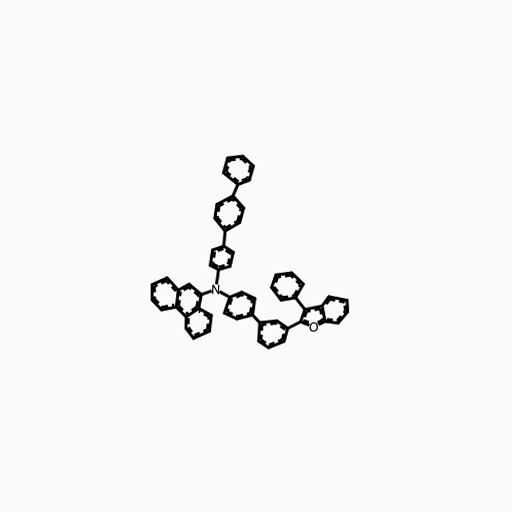 c1ccc(-c2ccc(-c3ccc(N(c4ccc(-c5cccc(-c6oc7ccccc7c6-c6ccccc6)c5)cc4)c4cc5ccccc5c5ccccc45)cc3)cc2)cc1